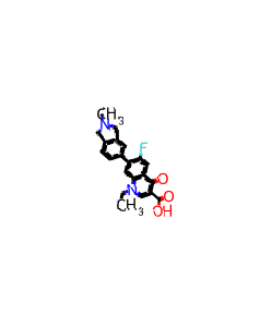 CCn1cc(C(=O)O)c(=O)c2cc(F)c(-c3ccc4c(c3)CN(C)C4)cc21